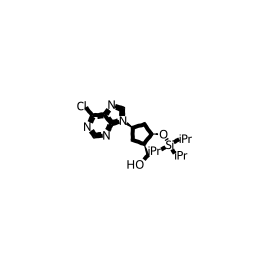 CC(C)[Si](O[C@H]1C[C@H](n2cnc3c(Cl)ncnc32)C[C@@H]1CO)(C(C)C)C(C)C